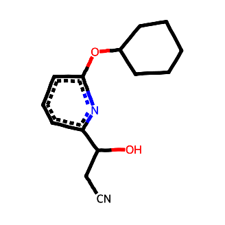 N#CCC(O)c1cccc(OC2CCCCC2)n1